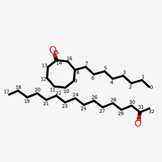 CCCCCCCCC1CCCCCC(=O)C1.CCCCCCCCCCCCCCC(C)=O